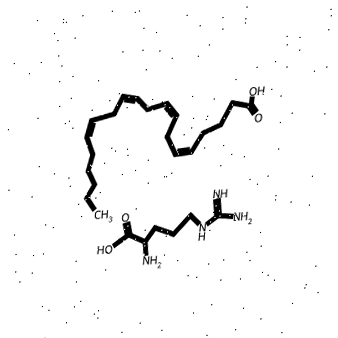 CCCCC/C=C\C/C=C\C/C=C\C/C=C\CCCC(=O)O.N=C(N)NCCCC(N)C(=O)O